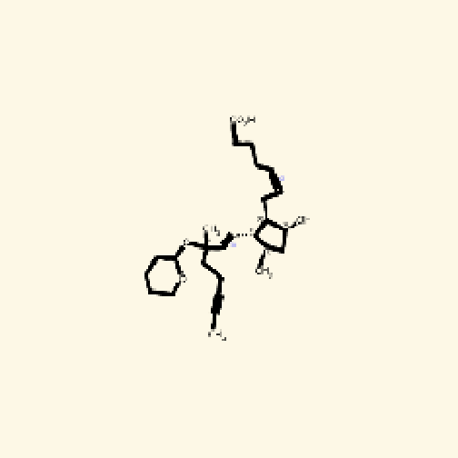 CC#CCCC(C)(/C=C/[C@@H]1[C@@H](C/C=C\CCCC(=O)O)[C@@H](O)C[C@H]1C)OC1CCCCO1